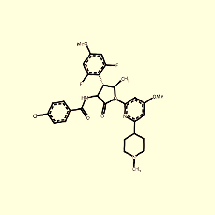 COc1cc(C2CCN(C)CC2)nc(N2C(=O)C(NC(=O)c3ccc(Cl)cc3)[C@H](c3c(F)cc(OC)cc3F)[C@H]2C)c1